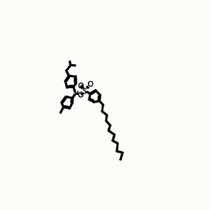 CCCCCCCCCCCCc1ccc(S(=O)(=O)O[I+](c2ccc(C)cc2)c2ccc(CC(C)C)cc2)cc1